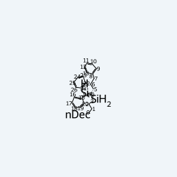 CCCCCCCCCCCC[SiH2][C@@H](CCCc1ccccc1)[SiH](c1ccccc1)c1ccccc1